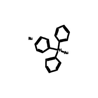 [Au][PH](c1ccccc1)(c1ccccc1)c1ccccc1.[Ru]